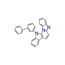 c1ccc(-c2cccc(-n3c4ccccc4c4ccc5nc6ccccc6n5c43)c2)cc1